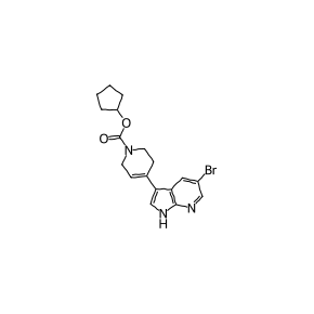 O=C(OC1CCCC1)N1CC=C(c2c[nH]c3ncc(Br)cc23)CC1